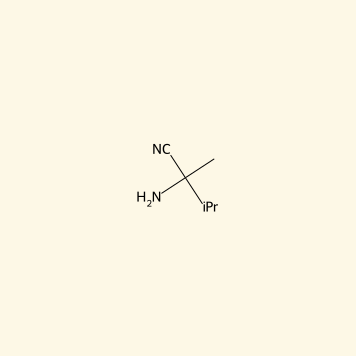 CC(C)C(C)(N)C#N